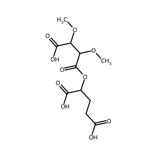 COC(C(=O)O)C(OC)C(=O)OC(CCC(=O)O)C(=O)O